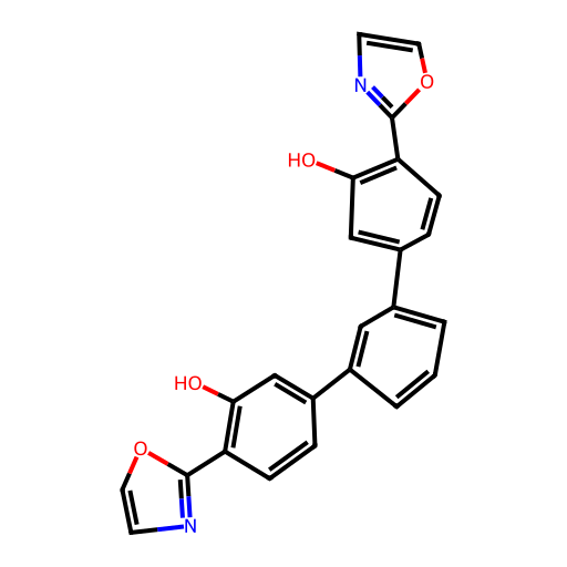 Oc1cc(-c2cccc(-c3ccc(-c4ncco4)c(O)c3)c2)ccc1-c1ncco1